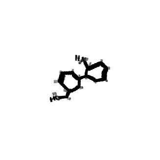 Nc1ccccc1-c1cccc(CO)c1